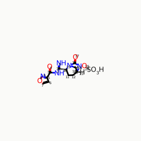 N=C(NC(=O)c1ccon1)[C@@H]1CC[C@@H]2CN1C(=O)N2OS(=O)(=O)O